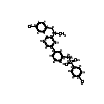 CN(Cc1ccc(Cl)cc1)c1cncc(-c2cccc(NS(=O)(=O)c3ccc(Cl)cc3)c2)n1